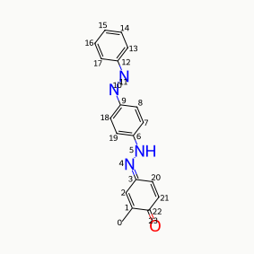 CC1=C/C(=N/Nc2ccc(N=Nc3ccccc3)cc2)C=CC1=O